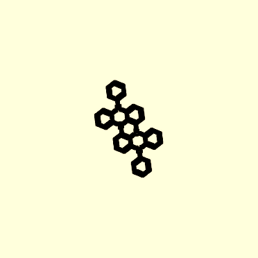 c1ccc(N2c3ccccc3B3c4cccc5c4B(c4ccccc4N5c4ccccc4)c4cccc2c43)cc1